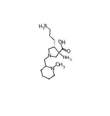 BCCC[C@H]1CN(CC2CCCCN2C)C[C@@]1(N)C(=O)O